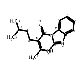 Cc1[nH]c2nc3ccccc3n2c(=O)c1CCC(C)C